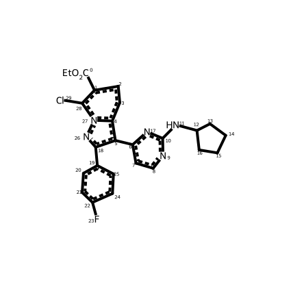 CCOC(=O)c1ccc2c(-c3ccnc(NC4CCCC4)n3)c(-c3ccc(F)cc3)nn2c1Cl